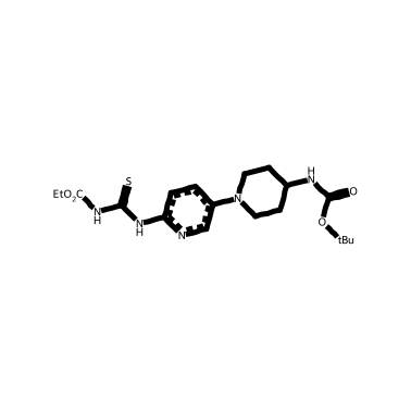 CCOC(=O)NC(=S)Nc1ccc(N2CCC(NC(=O)OC(C)(C)C)CC2)cn1